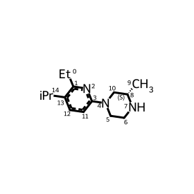 CCc1nc(N2CCN[C@@H](C)C2)ccc1C(C)C